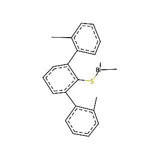 Cc1ccccc1-c1cccc(-c2ccccc2C)c1[S][Bi]([CH3])[CH3]